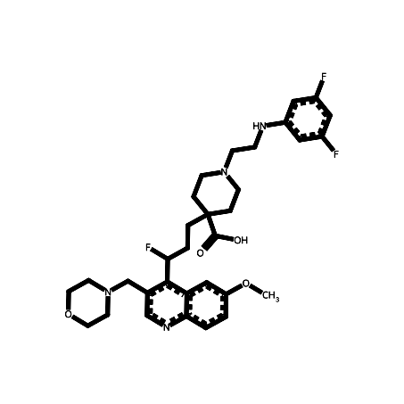 COc1ccc2ncc(CN3CCOCC3)c(C(F)CCC3(C(=O)O)CCN(CCNc4cc(F)cc(F)c4)CC3)c2c1